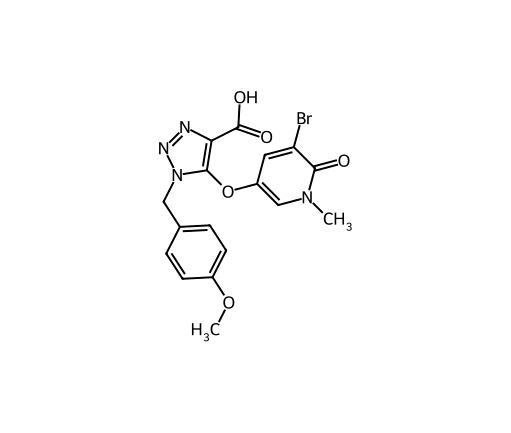 COc1ccc(Cn2nnc(C(=O)O)c2Oc2cc(Br)c(=O)n(C)c2)cc1